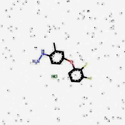 Cc1cc(Oc2cccc(F)c2F)ccc1NN.Cl